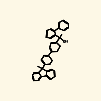 CC(O)(C1=CC=C(C2=CC=C(C3(C)c4ccccc4-c4ccccc43)CC2)CC1)c1ccccc1-c1ccccc1